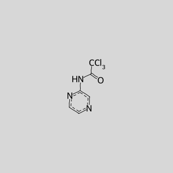 O=C(Nc1cnccn1)C(Cl)(Cl)Cl